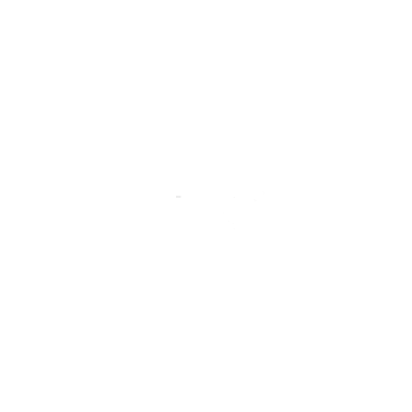 Cc1c(C)c(C)c(C2=C[CH]c3ccccc32)c(C)c1C